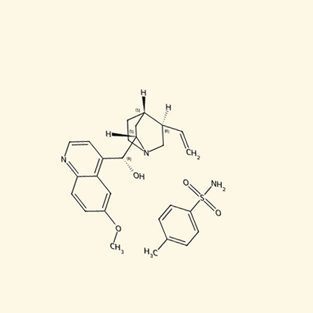 C=C[C@H]1CN2CC[C@H]1C[C@H]2[C@H](O)c1ccnc2ccc(OC)cc12.Cc1ccc(S(N)(=O)=O)cc1